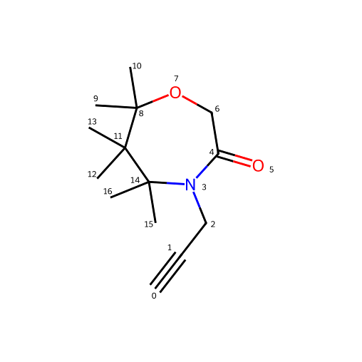 C#CCN1C(=O)COC(C)(C)C(C)(C)C1(C)C